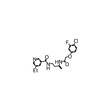 C=C(CCNC(=O)c1cncc(CC)c1)NC(=O)COc1ccc(Cl)c(F)c1